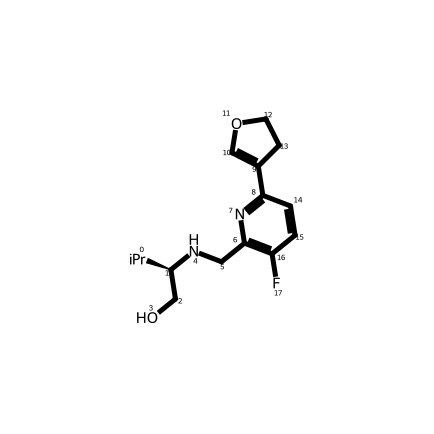 CC(C)[C@H](CO)NCc1nc(C2=COCC2)ccc1F